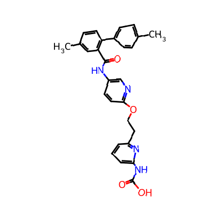 Cc1ccc(-c2ccc(C)cc2C(=O)Nc2ccc(OCCc3cccc(NC(=O)O)n3)nc2)cc1